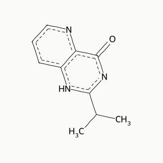 CC(C)c1nc(=O)c2ncccc2[nH]1